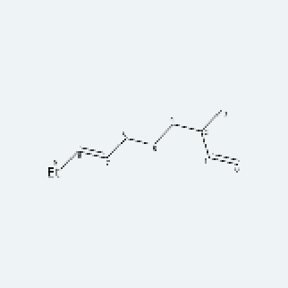 C=CC(C)CCCC=CCC